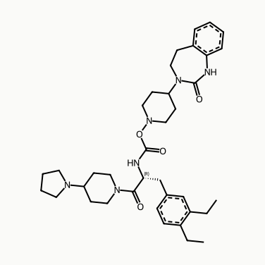 CCc1ccc(C[C@@H](NC(=O)ON2CCC(N3CCc4ccccc4NC3=O)CC2)C(=O)N2CCC(N3CCCC3)CC2)cc1CC